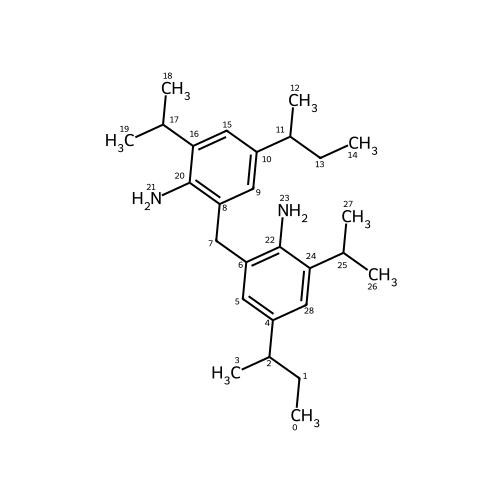 CCC(C)c1cc(Cc2cc(C(C)CC)cc(C(C)C)c2N)c(N)c(C(C)C)c1